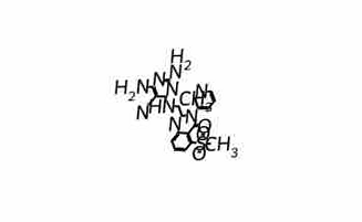 C[C@H](Nc1nc(N)nc(N)c1C#N)c1nc2cccc(S(C)(=O)=O)c2c(=O)n1-c1cccnc1